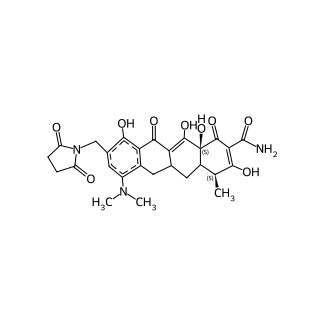 C[C@@H]1C(O)=C(C(N)=O)C(=O)[C@@]2(O)C(O)=C3C(=O)c4c(O)c(CN5C(=O)CCC5=O)cc(N(C)C)c4CC3CC12